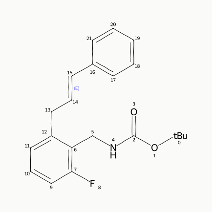 CC(C)(C)OC(=O)NCc1c(F)cccc1C/C=C/c1ccccc1